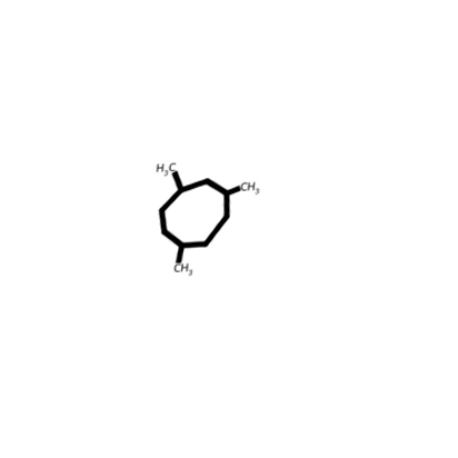 CC1CCC(C)CC(C)CC1